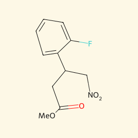 COC(=O)CC(C[N+](=O)[O-])c1ccccc1F